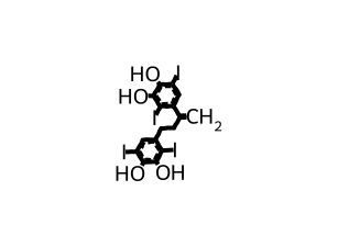 C=C(CCc1cc(I)c(O)c(O)c1I)c1cc(I)c(O)c(O)c1I